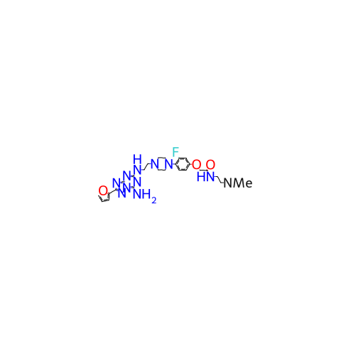 CNCCNC(=O)COc1ccc(N2CCN(CCNc3nc(N)n4nc(-c5ccco5)nc4n3)CC2)c(F)c1